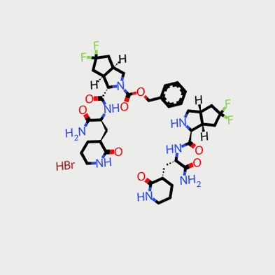 Br.NC(=O)[C@H](C[C@@H]1CCCNC1=O)NC(=O)[C@@H]1[C@H]2CC(F)(F)C[C@H]2CN1C(=O)OCc1ccccc1.NC(=O)[C@H](C[C@@H]1CCCNC1=O)NC(=O)[C@H]1NC[C@@H]2CC(F)(F)C[C@@H]21